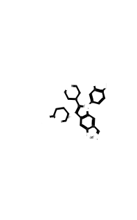 O=C(O)C1CC[C@H](c2c(C3CCOCC3)n(-c3ccc(F)c(F)c3)c3cc4cn[nH]c4cc23)CO1